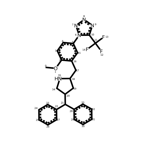 COc1ccc(-n2nnnc2C(F)(F)F)cc1CC1CC(C(c2ccccc2)c2ccccc2)CN1